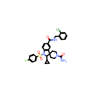 NC(=O)N1CCC2(CC1)c1cc(C(=O)NCc3ccccc3Cl)ccc1N(S(=O)(=O)c1ccc(F)cc1)C2C1CC1